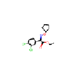 CCOC(=O)C(=NOC1CCCC1)c1ccc(Cl)c(Cl)c1